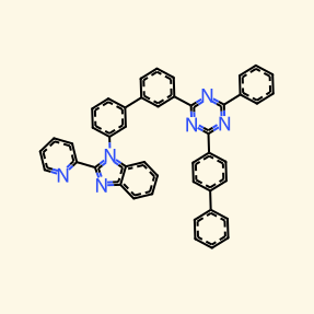 c1ccc(-c2ccc(-c3nc(-c4ccccc4)nc(-c4cccc(-c5cccc(-n6c(-c7ccccn7)nc7ccccc76)c5)c4)n3)cc2)cc1